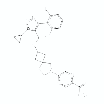 COC(=O)c1cnc(N2CCC3(CC(OCc4c(-c5c(Cl)cccc5Cl)noc4C4CC4)C3)C2)cn1